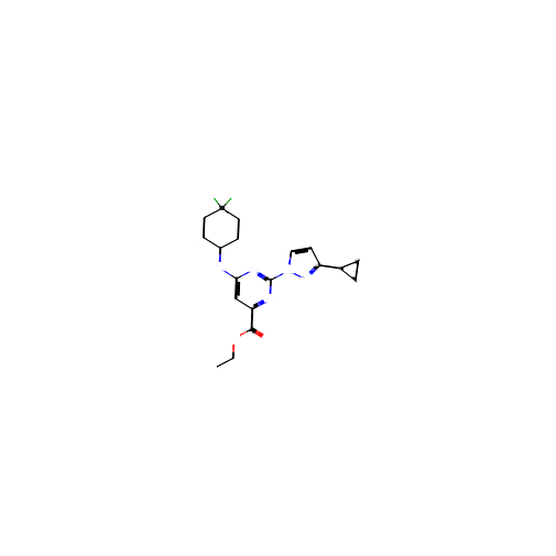 CCOC(=O)c1cc(NC2CCC(F)(F)CC2)nc(-n2ccc(C3CC3)n2)n1